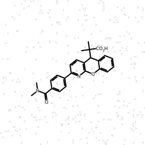 CN(C)C(=O)c1ccc(-c2ccc3c(n2)Oc2ccccc2C3C(C)(C)C(=O)O)cc1